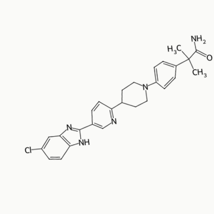 CC(C)(C(N)=O)c1ccc(N2CCC(c3ccc(-c4nc5cc(Cl)ccc5[nH]4)cn3)CC2)cc1